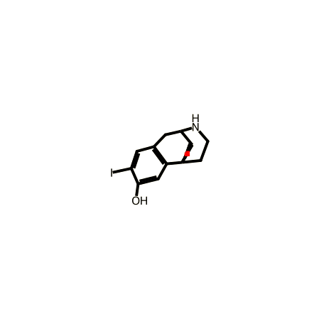 Oc1cc2c(cc1I)CC1NCCC23CCCCC13